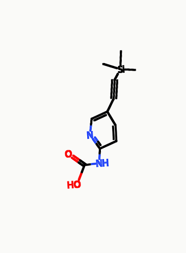 C[Si](C)(C)C#Cc1ccc(NC(=O)O)nc1